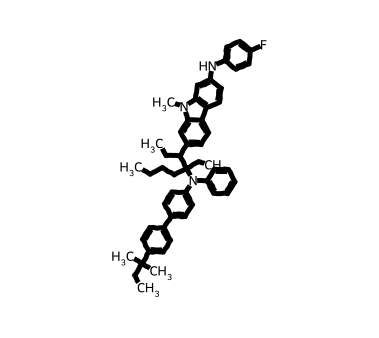 CCCCC(CC)(C(CC)c1ccc2c3ccc(Nc4ccc(F)cc4)cc3n(C)c2c1)N(c1ccccc1)c1ccc(-c2ccc(C(C)(C)CC)cc2)cc1